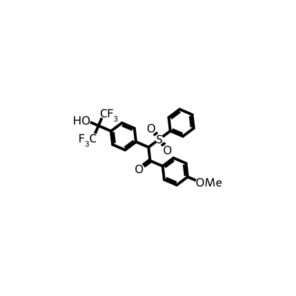 COc1ccc(C(=O)C(c2ccc(C(O)(C(F)(F)F)C(F)(F)F)cc2)S(=O)(=O)c2ccccc2)cc1